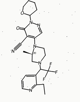 CCc1ncccc1C(N1CCN(c2cnn(C3CCCCO3)c(=O)c2C#N)[C@H](C)C1)C(F)(F)F